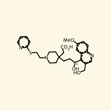 COc1ccc2ncc(CO)c([C@@H](O)CCC3(CC(=O)O)CCN(CCSc4ccccn4)CC3)c2c1